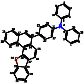 c1ccc(N(c2ccccc2)c2ccc(-c3cc4ccccc4c4c3ccc3c5ccccc5sc34)cc2)cc1